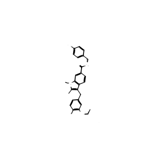 Cc1c(Cc2ccc(Cl)c(O[C@H](C)C(=O)O)c2)c2ccc(C(=O)N[C@@H](C)c3ccc(C(C)(C)C)cc3)cc2n1C